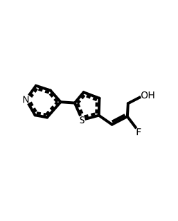 OC/C(F)=C\c1ccc(-c2ccncc2)s1